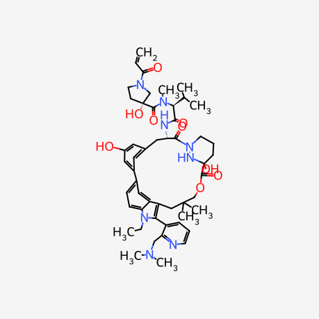 C=CC(=O)N1CC[C@](O)(C(=O)N(C)[C@H](C(=O)N[C@H]2Cc3cc(O)cc(c3)-c3ccc4c(c3)c(c(-c3cccnc3CN(C)C)n4CC)CC(C)(C)COC(=O)[C@@]3(O)CCCN(N3)C2=O)C(C)C)C1